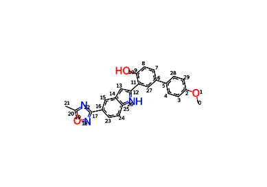 COc1ccc(-c2ccc(O)c(-c3cc4cc(-c5noc(C)n5)ccc4[nH]3)c2)cc1